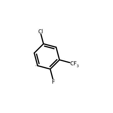 Fc1[c]cc(Cl)cc1C(F)(F)F